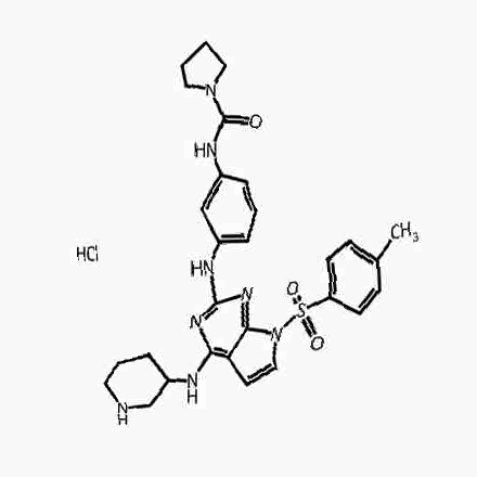 Cc1ccc(S(=O)(=O)n2ccc3c(NC4CCCNC4)nc(Nc4cccc(NC(=O)N5CCCC5)c4)nc32)cc1.Cl